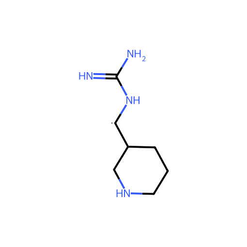 N=C(N)N[CH]C1CCCNC1